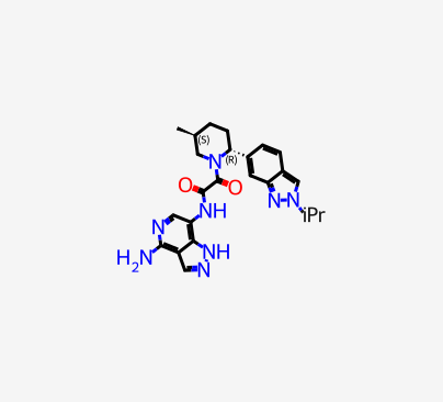 CC(C)n1cc2ccc([C@H]3CC[C@H](C)CN3C(=O)C(=O)Nc3cnc(N)c4cn[nH]c34)cc2n1